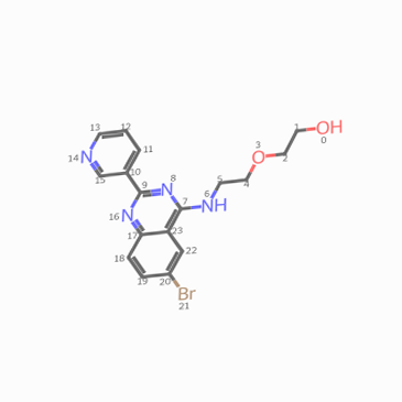 OCCOCCNc1nc(-c2cccnc2)nc2ccc(Br)cc12